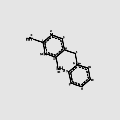 CCCc1ncc(C[n+]2ccccc2)c(N)n1